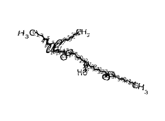 CCCCC/C=C/COC(CCCCC(=O)OCCCCCCN(CCO)CCCCCCCC(=O)OCCCCCCCCC)OC/C=C/CCCCC